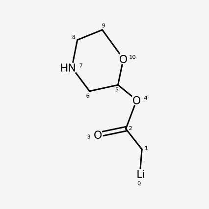 [Li][CH2]C(=O)OC1CNCCO1